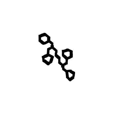 C(=CCN(Cc1ccccc1)Cc1ccccc1)CN(Cc1ccccc1)Cc1ccccc1